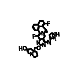 C#Cc1c(F)ccc2cccc(-c3ncc4c(N(C)[C@@H]5CCN[C@@H]5C)nc(OC[C@@]56CCCN5C[C@H](O)C6)nc4c3F)c12